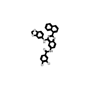 O=C(Nc1ccc2nc(-c3cccc4ccccc34)nc(Nc3ccc4c(c3)OCO4)c2c1)c1ccc(Cl)c(Cl)c1